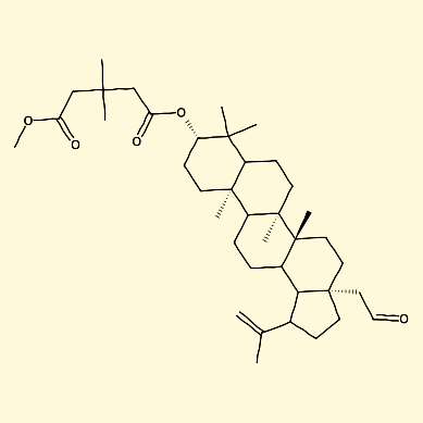 C=C(C)C1CC[C@]2(CC=O)CC[C@]3(C)C(CCC4[C@@]5(C)CC[C@H](OC(=O)CC(C)(C)CC(=O)OC)C(C)(C)C5CC[C@]43C)C12